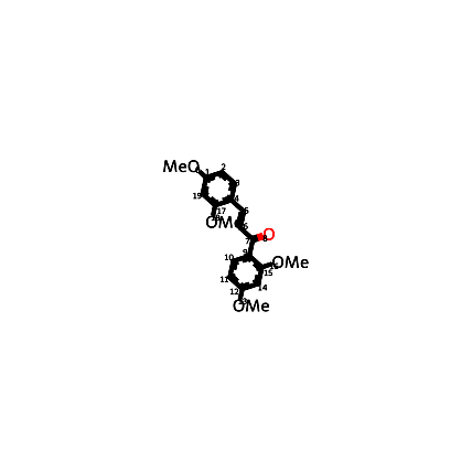 COc1ccc(C=CC(=O)c2ccc(OC)cc2OC)c(OC)c1